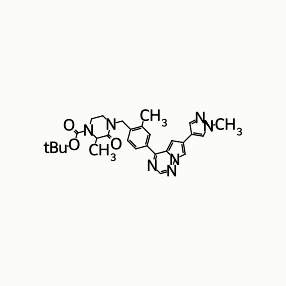 Cc1cc(-c2ncnn3cc(-c4cnn(C)c4)cc23)ccc1CN1CCN(C(=O)OC(C)(C)C)C(C)C1=O